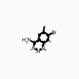 Cc1cc2c(N)nnnc2cc1Br